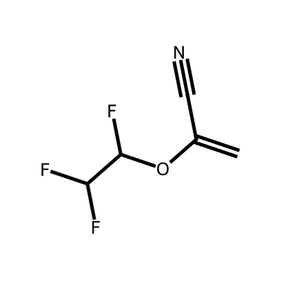 C=C(C#N)OC(F)C(F)F